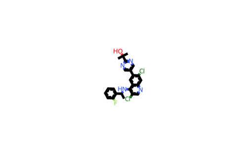 CC(Nc1c(Cl)cnc2cc(Cl)c(-c3cnc(C(C)(C)O)nc3)cc12)c1ccccc1F